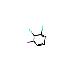 FC1=[C]C=C[C](I)C1F